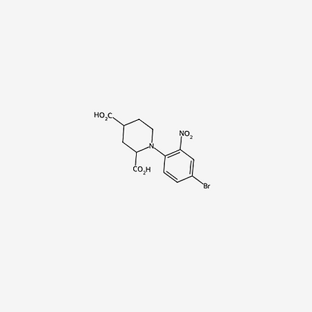 O=C(O)C1CCN(c2ccc(Br)cc2[N+](=O)[O-])C(C(=O)O)C1